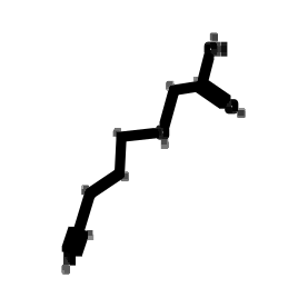 N#CC[CH]COCC(=O)O